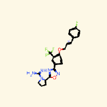 N=C(N)N1CCCC1c1nc(-c2ccc(OC/C=C/c3ccc(F)cc3)c(C(F)(F)F)c2)no1